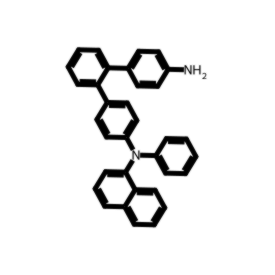 Nc1ccc(-c2ccccc2-c2ccc(N(c3ccccc3)c3cccc4ccccc34)cc2)cc1